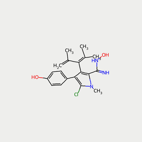 C=C(C)C(=C(C)C)c1c(-c2ccc(O)cc2)c(Cl)n(C)c1C(=N)NO